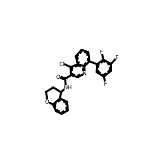 O=C(NC1CCOc2ccccc21)c1cnc2c(-c3cc(F)cc(F)c3F)cccc2c1Cl